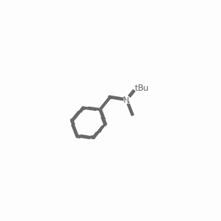 CN(CC1CCCCC1)C(C)(C)C